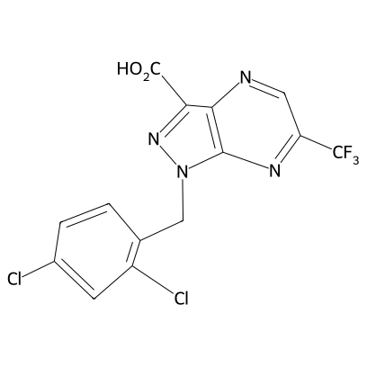 O=C(O)c1nn(Cc2ccc(Cl)cc2Cl)c2nc(C(F)(F)F)cnc12